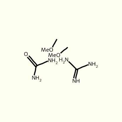 COC.COC.N=C(N)N.NC(N)=O